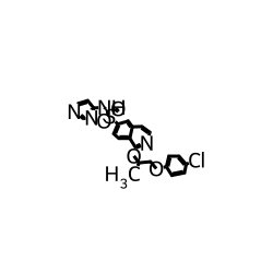 CC(COc1ccc(Cl)cc1)Oc1nccc2cc(S(=O)(=O)Nc3ccncn3)ccc12